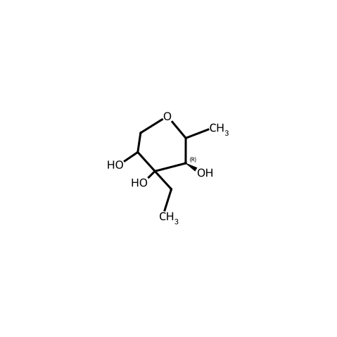 CCC1(O)C(O)COC(C)[C@H]1O